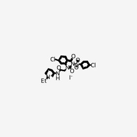 CC[n+]1cccc(NC(=O)Cn2c(=O)n(S(=O)(=O)c3ccc(Cl)cc3)c(=O)c3ccc(Cl)cc32)c1.[I-]